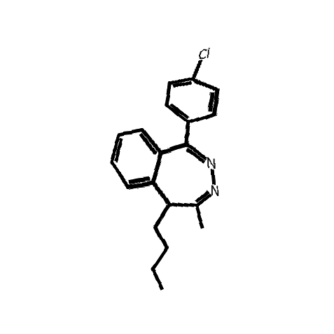 CCCCC1C(C)=NN=C(c2ccc(Cl)cc2)c2ccccc21